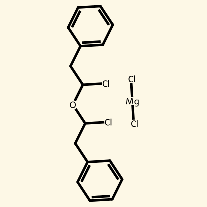 ClC(Cc1ccccc1)OC(Cl)Cc1ccccc1.[Cl][Mg][Cl]